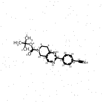 CC(C)(C)OC(=O)N1CCc2nc(-c3ccc(C#N)cc3)ncc2C1